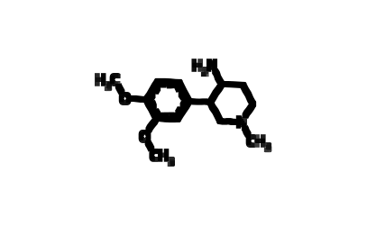 COc1ccc(C2CN(C)CCC2N)cc1OC